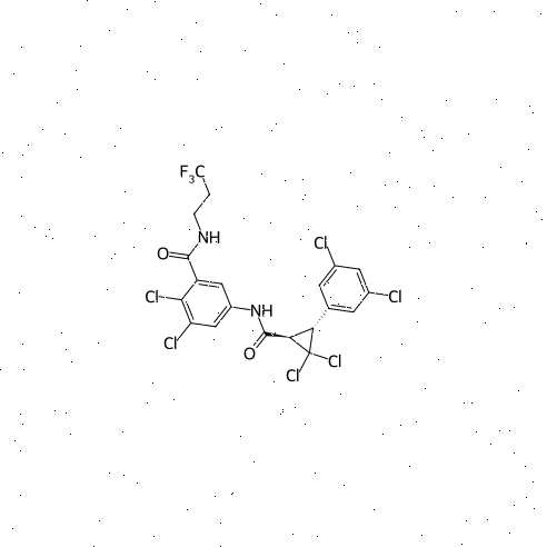 O=C(NCCC(F)(F)F)c1cc(NC(=O)[C@H]2[C@H](c3cc(Cl)cc(Cl)c3)C2(Cl)Cl)cc(Cl)c1Cl